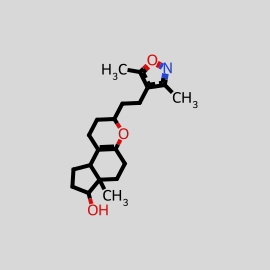 Cc1noc(C)c1CCC1CCC2=C(CCC3(C)C(O)CCC23)O1